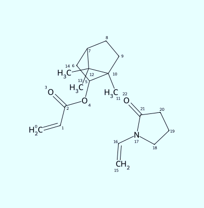 C=CC(=O)OC1CC2CCC1(C)C2(C)C.C=CN1CCCC1=O